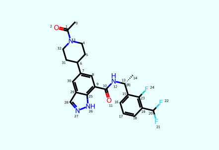 CC(=O)N1CCC(c2cc(C(=O)N[C@H](C)c3cccc(C(F)F)c3F)c3[nH]ncc3c2)CC1